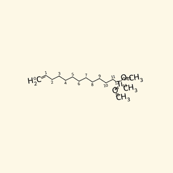 C=CCCCCCCCCC[CH2][Ti]([CH3])([O]C)[O]C